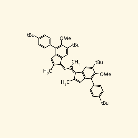 COc1c(C(C)(C)C)cc2c(c1-c1ccc(C(C)(C)C)cc1)C=C(C)C2=C[Si](C)=C1C(C)=Cc2c1cc(C(C)(C)C)c(OC)c2-c1ccc(C(C)(C)C)cc1